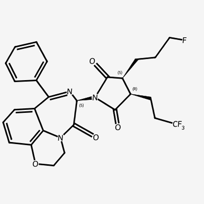 O=C1[C@H](N2C(=O)[C@@H](CCCF)[C@@H](CCC(F)(F)F)C2=O)N=C(c2ccccc2)c2cccc3c2N1CCO3